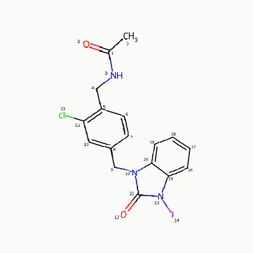 CC(=O)NCc1ccc(Cn2c(=O)n(I)c3ccccc32)cc1Cl